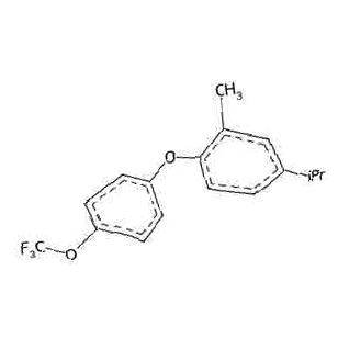 Cc1cc(C(C)C)ccc1Oc1ccc(OC(F)(F)F)cc1